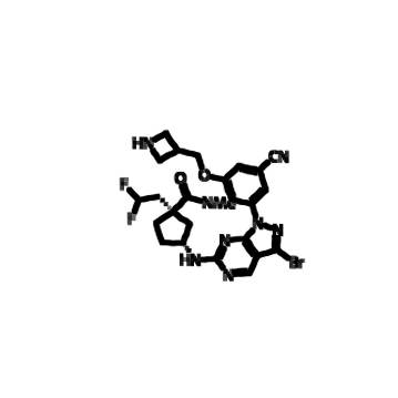 CNC(=O)[C@]1(CC(F)F)CC[C@@H](Nc2ncc3c(Br)nn(-c4cc(C#N)cc(OCC5CNC5)c4)c3n2)C1